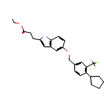 CCOC(=O)CCc1cc2cc(OCc3ccc(C4CCCC4)c(C(F)(F)F)c3)ccc2[nH]1